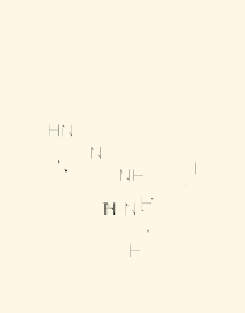 Cc1ccccc1CNc1ncc(C#N)c(NCC23CC4C[C@H](C2)[C@@H](N)[C@@H](C4)C3)n1